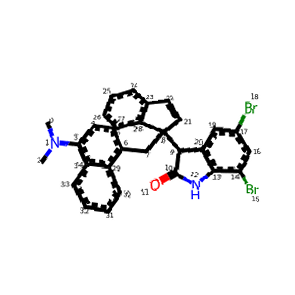 CN(C)c1ccc(CC2(C3C(=O)Nc4c(Br)cc(Br)cc43)C=Cc3ccccc32)c2ccccc12